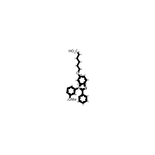 COc1cccc(-n2c(-c3ccccc3)nc3ccc(OCCCCCC(=O)O)cc32)c1